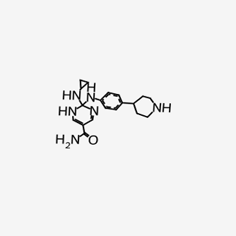 NC(=O)C1=CNC(Nc2ccc(C3CCNCC3)cc2)(NC2CC2)N=C1